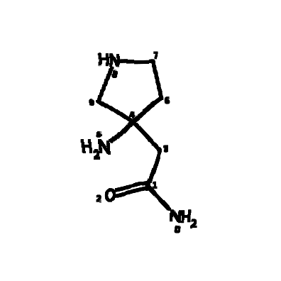 NC(=O)CC1(N)CCNC1